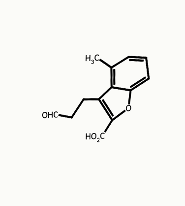 Cc1cccc2oc(C(=O)O)c(CCC=O)c12